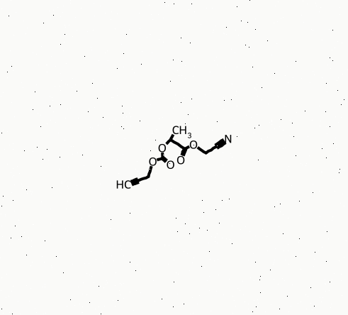 C#CCOC(=O)OC(C)C(=O)OCC#N